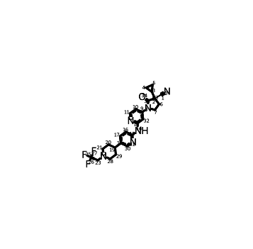 N#C[C@@]1(C2CC2)CCN(c2ccnc(Nc3ccc(C4CCN(CC(F)(F)F)CC4)cn3)c2)C1=O